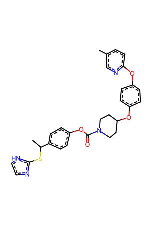 Cc1ccc(Oc2ccc(OC3CCN(C(=O)Oc4ccc(C(C)Sc5ncc[nH]5)cc4)CC3)cc2)nc1